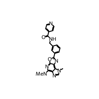 CNc1nc2oc(-c3cccc(CNC(=O)c4ccncc4)c3)nc2c2c1ncn2C